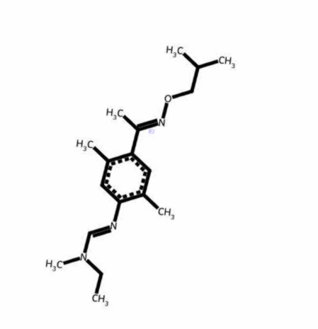 CCN(C)C=Nc1cc(C)c(/C(C)=N/OCC(C)C)cc1C